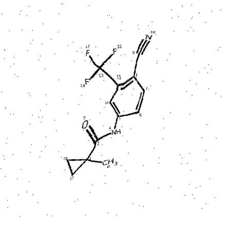 CC1(C(=O)Nc2ccc(C#N)c(C(F)(F)F)c2)CC1